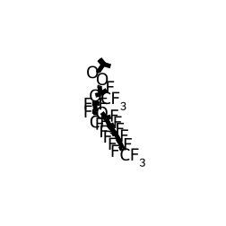 C=C(C)C(=O)OCC(F)(OC(F)(F)C(F)(OC(F)(F)C(F)(F)C(F)(F)C(F)(F)C(F)(F)C(F)(F)F)C(F)(F)F)C(F)(F)F